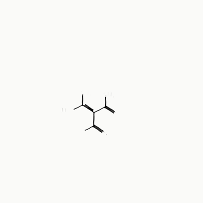 C=C(C)C(C(C)=N)=C(C)C